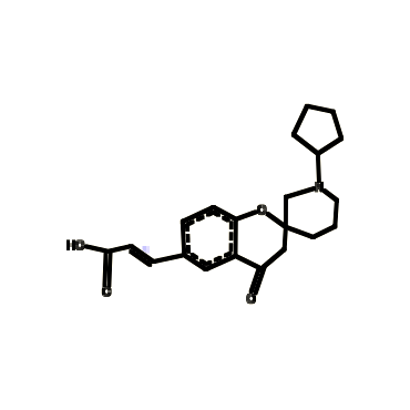 O=C(O)/C=C/c1ccc2c(c1)C(=O)CC1(CCCN(C3CCCC3)C1)O2